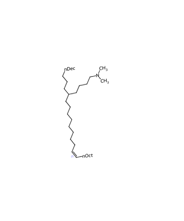 CCCCCCCC/C=C\CCCCCCCCC(CCCCCCCCCCCCC)CCCCN(C)C